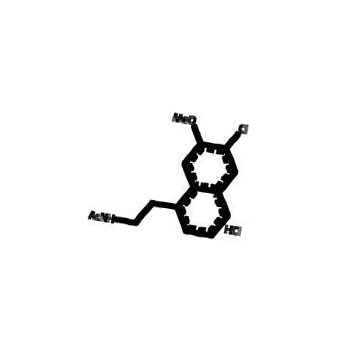 COc1cc2c(CCNC(C)=O)cccc2cc1Cl.Cl